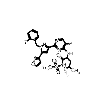 CC(C)CC(Nc1nc(-c2cc(-c3ccon3)n(Cc3ccccc3F)n2)ncc1F)C(=O)NS(C)(=O)=O